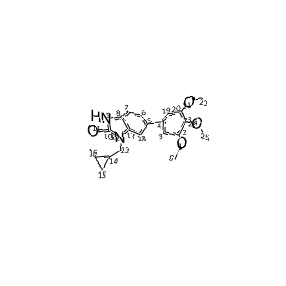 COc1cc(-c2ccc3[nH]c(=O)n(CC4CC4)c3c2)cc(OC)c1OC